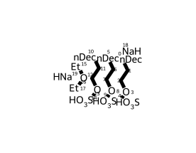 CCCCCCCCCCCCOS(=O)(=O)O.CCCCCCCCCCCCOS(=O)(=O)O.CCCCCCCCCCCCOS(=O)(=O)O.CCOCC.[NaH].[NaH]